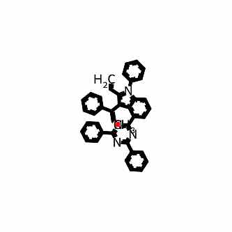 C=Cc1c(/C(=C\C)c2ccccc2)c2c(-c3nc(-c4ccccc4)nc(-c4ccccc4)n3)cccc2n1-c1ccccc1